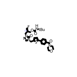 CC(C)(C)NC(=O)OC/C(=C\F)Cn1ncn(Cc2ccc(-c3ccc(C(=O)N4CCOCC4)cc3)s2)c1=O